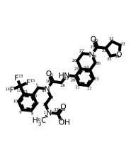 CN(CCN(Cc1ccccc1C(F)(F)F)C(=O)CNc1cccc2c1CCN(C(=O)C1CCOC1)C2)C(=O)O